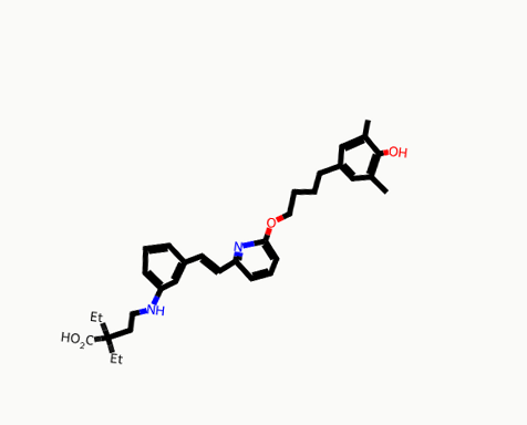 CCC(CC)(CCNc1cccc(C=Cc2cccc(OCCCCc3cc(C)c(O)c(C)c3)n2)c1)C(=O)O